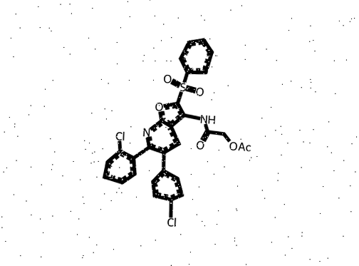 CC(=O)OCC(=O)Nc1c(S(=O)(=O)c2ccccc2)oc2nc(-c3ccccc3Cl)c(-c3ccc(Cl)cc3)cc12